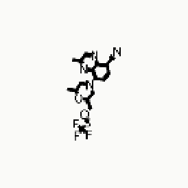 Cc1cnc2c(C#N)ccc(N3CC(C)OC(COSC(F)(F)F)C3)c2n1